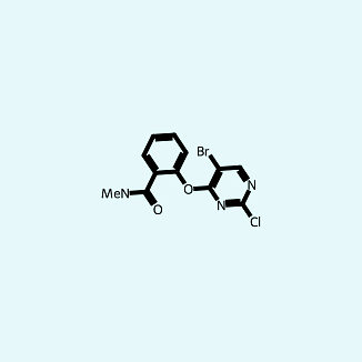 CNC(=O)c1ccccc1Oc1nc(Cl)ncc1Br